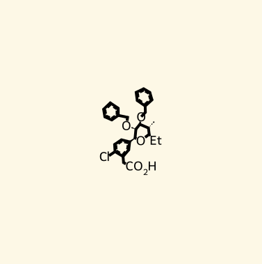 CC[C@H]1O[C@@H](c2ccc(Cl)c(CC(=O)O)c2)[C@H](OCc2ccccc2)[C@@H](OCc2ccccc2)[C@@H]1C